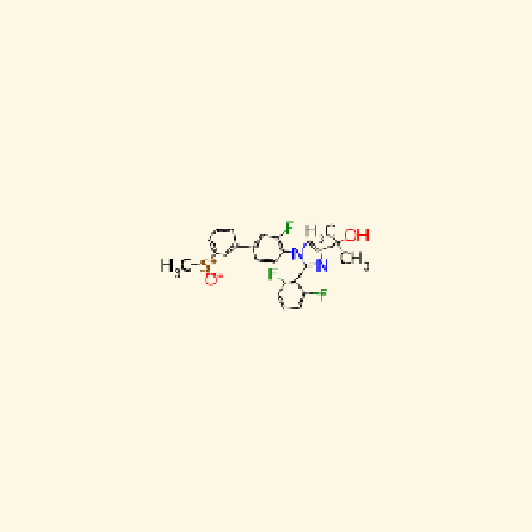 C[S+]([O-])c1cccc(-c2ccc(-n3cc(C(C)(C)O)nc3-c3c(F)cccc3F)c(F)c2)c1